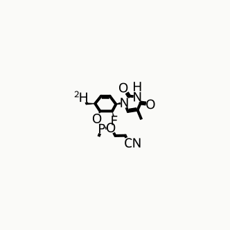 [2H]C[C@H]1C=C[C@@H](n2cc(C)c(=O)[nH]c2=O)[C@H](F)[C@@H]1OP(C)OCCC#N